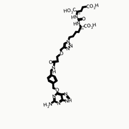 Nc1nc(OCc2ccc(CNC(=O)CCOCc3cn(CCCC[C@H](NC(=O)N[C@@H](CCC(=O)O)C(=O)O)C(=O)O)nn3)cc2)c2nc[nH]c2n1